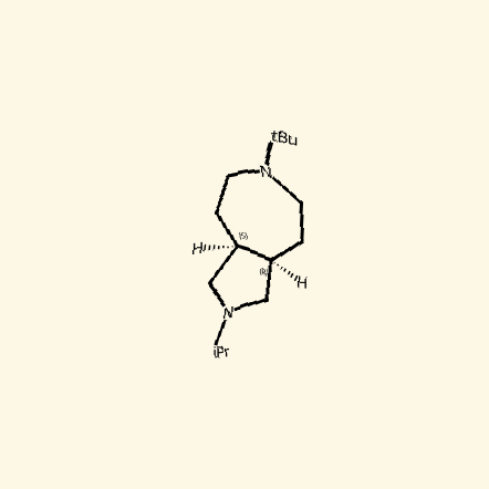 CC(C)N1C[C@H]2CCN(C(C)(C)C)CC[C@H]2C1